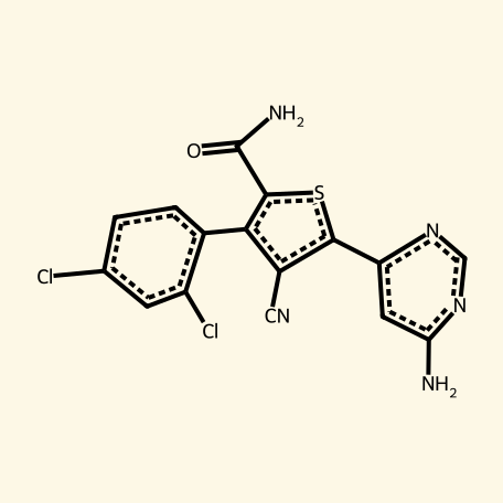 N#Cc1c(-c2cc(N)ncn2)sc(C(N)=O)c1-c1ccc(Cl)cc1Cl